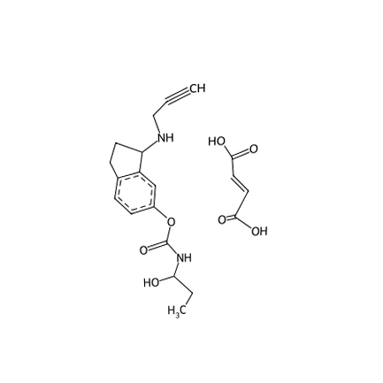 C#CCNC1CCc2ccc(OC(=O)NC(O)CC)cc21.O=C(O)C=CC(=O)O